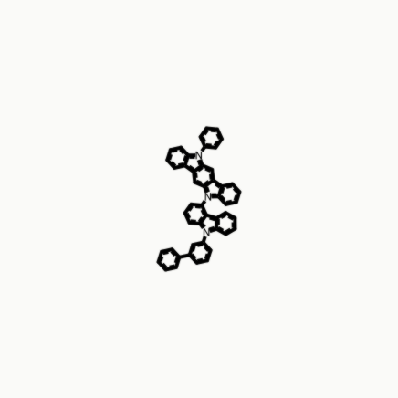 c1ccc(-c2cccc(-n3c4ccccc4c4c(-n5c6ccccc6c6cc7c(cc65)c5ccccc5n7-c5ccccc5)cccc43)c2)cc1